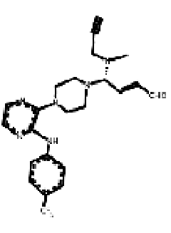 C#CCN(C)[C@H](/C=C/C=O)N1CCN(c2nccnc2Nc2ccc(C(F)(F)F)cc2)CC1